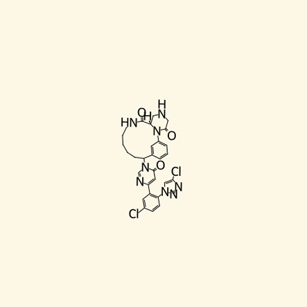 O=C1NCCCCCC(n2cnc(-c3cc(Cl)ccc3-n3cc(Cl)nn3)cc2=O)c2cccc(c2)N2C(=O)CNC[C@@H]12